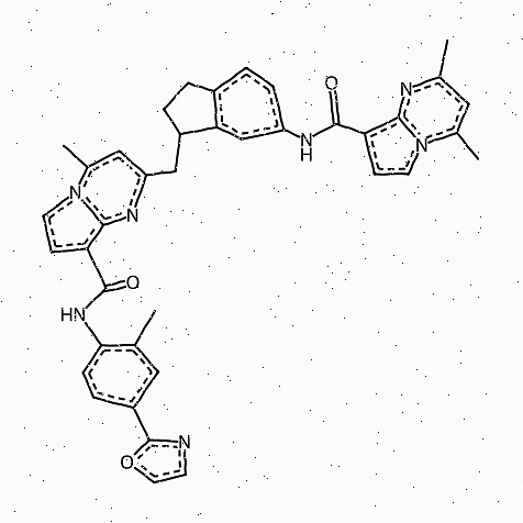 Cc1cc(C)n2ccc(C(=O)Nc3ccc4c(c3)C(Cc3cc(C)n5ccc(C(=O)Nc6ccc(-c7ncco7)cc6C)c5n3)CC4)c2n1